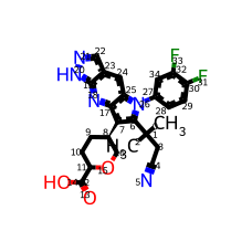 CC(C)(CC#N)c1c([C@@H]2CCC(C(=O)O)OC2)c2nc3[nH]ncc3cc2n1-c1ccc(F)c(F)c1